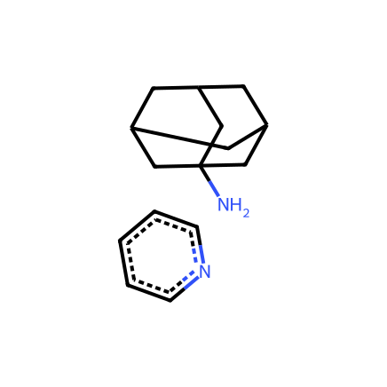 NC12CC3CC(CC(C3)C1)C2.c1ccncc1